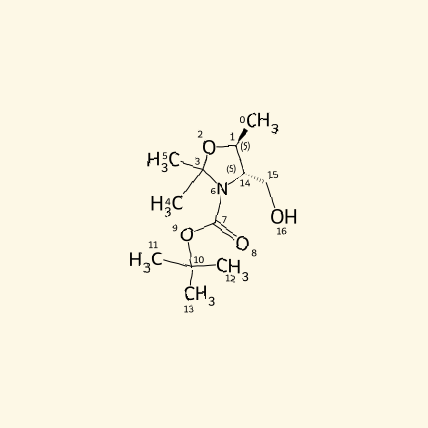 C[C@@H]1OC(C)(C)N(C(=O)OC(C)(C)C)[C@H]1CO